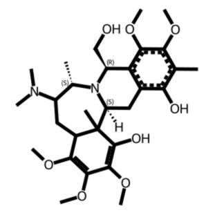 COC1=C(OC)C2CC(N(C)C)[C@H](C)N3[C@@H](Cc4c(O)c(C)c(OC)c(OC)c4[C@@H]3CO)C2(C)C(O)=C1OC